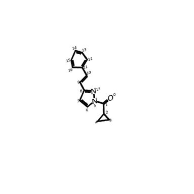 O=C(C1CC1)n1ccc(C=Cc2ccccc2)n1